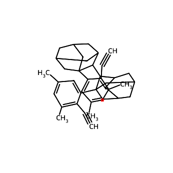 C#Cc1c(C)cc(C)cc1C12CC3CC(CC(C3)C1C1C3CC4CC(C3)CC1(c1cc(C)cc(C)c1C#C)C4)C2